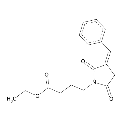 CCOC(=O)CCCN1C(=O)CC(=Cc2ccccc2)C1=O